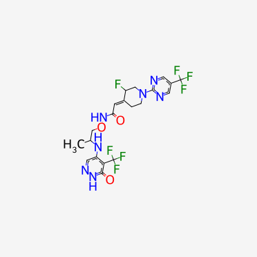 CC(CONC(=O)/C=C1\CCN(c2ncc(C(F)(F)F)cn2)CC1F)Nc1cn[nH]c(=O)c1C(F)(F)F